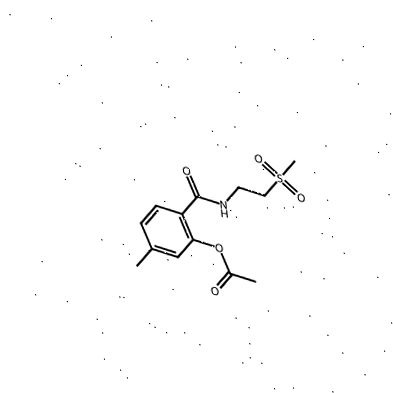 CC(=O)Oc1cc(C)ccc1C(=O)NCCS(C)(=O)=O